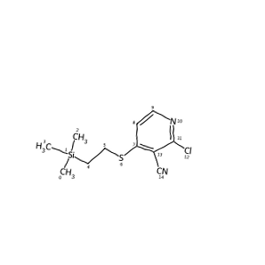 C[Si](C)(C)CCSc1ccnc(Cl)c1C#N